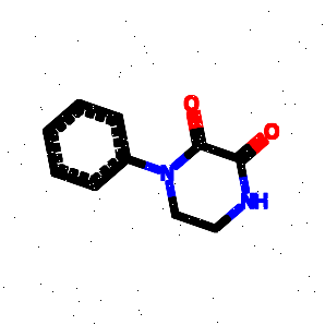 O=C1NCCN(c2ccccc2)C1=O